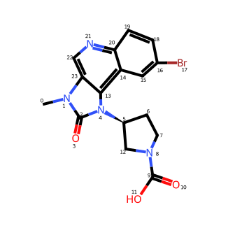 Cn1c(=O)n([C@H]2CCN(C(=O)O)C2)c2c3cc(Br)ccc3ncc21